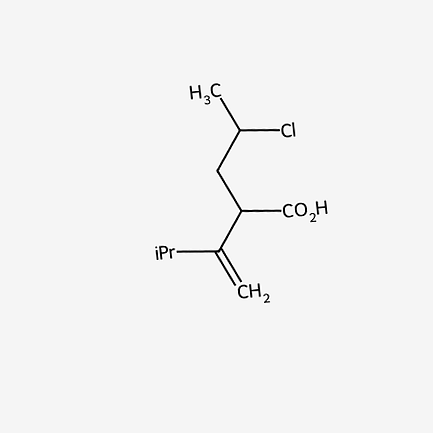 C=C(C(C)C)C(CC(C)Cl)C(=O)O